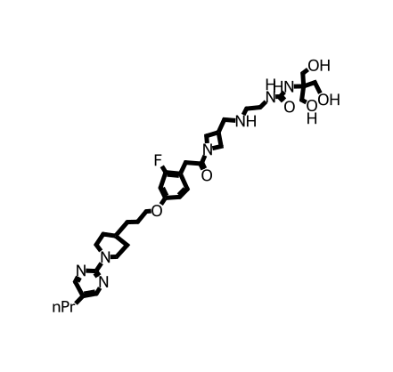 CCCc1cnc(N2CCC(CCCOc3ccc(CC(=O)N4CC(CNCCNC(=O)NC(CO)(CO)CO)C4)c(F)c3)CC2)nc1